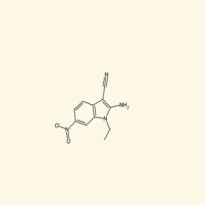 CCn1c(N)c(C#N)c2ccc([N+](=O)[O-])cc21